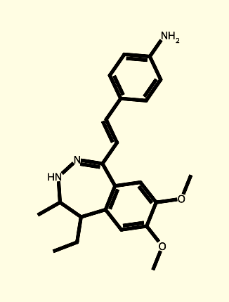 CCC1c2cc(OC)c(OC)cc2C(C=Cc2ccc(N)cc2)=NNC1C